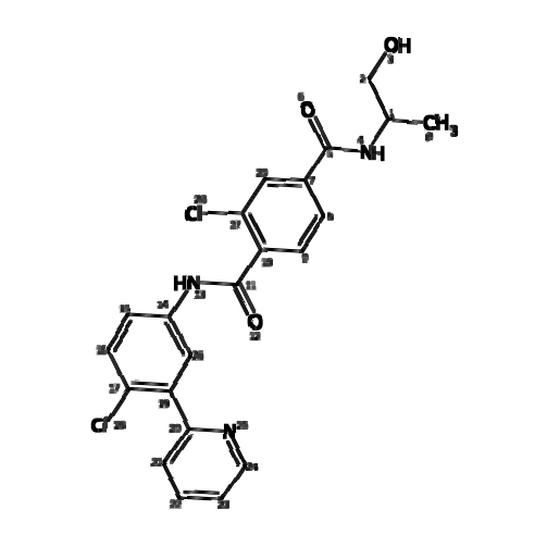 CC(CO)NC(=O)c1ccc(C(=O)Nc2ccc(Cl)c(-c3ccccn3)c2)c(Cl)c1